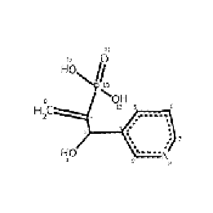 C=C(C(O)c1cccnc1)P(=O)(O)O